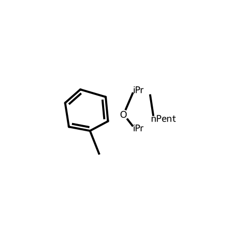 CC(C)OC(C)C.CCCCCC.Cc1ccccc1